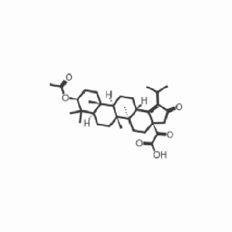 CC(=O)O[C@H]1CC[C@]2(C)[C@H]3CC[C@@H]4C5=C(C(C)C)C(=O)C[C@]5(C(=O)C(=O)O)CC[C@@]4(C)[C@]3(C)CC[C@H]2C1(C)C